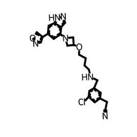 N#CCc1cc(Cl)cc(CNCCCCOC2CN(c3cc(-c4cnoc4)cc4[nH]ncc34)C2)c1